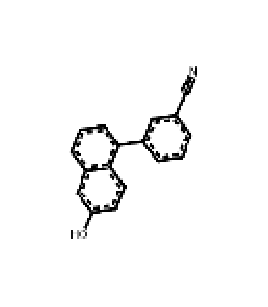 N#Cc1cccc(-c2cccc3cc(O)ccc23)c1